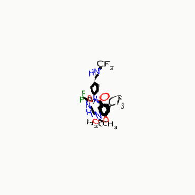 CC(C)N(C(=O)c1cc2c(cc1C(F)(F)F)OC(C)(C)C(=O)N2CCNC(=O)C(F)F)[C@H]1CC[C@@H](CCNCC(F)(F)F)CC1